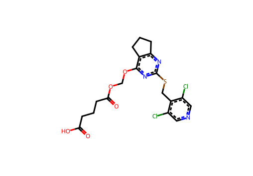 O=C(O)CCCC(=O)OCOc1nc(SCc2c(Cl)cncc2Cl)nc2c1CCC2